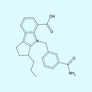 CCCC1CCc2c1n(Cc1cccc(C(N)=O)c1)c1c(C(=O)O)cccc21